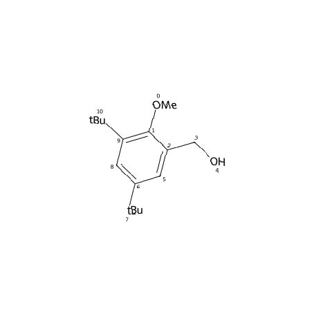 COc1c(CO)cc(C(C)(C)C)cc1C(C)(C)C